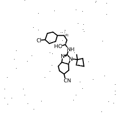 C[C@H](CC(O)NC1=NC2CCC(C#N)CC2N1C1(C)CCC1)C1CCC(Cl)CC1